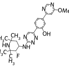 COc1cc(-c2ccc(-c3cnc(NC4CC(C)(C)NC(C)(C)[C@H]4F)nn3)c(O)c2)ncn1